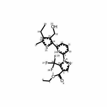 CCOC(=O)c1cnn(-c2cccc(-c3sc(C)c(CC)c3CO)n2)c1C(F)(F)F